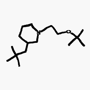 CC(C)(C)CC1CCCN(CCOC(C)(C)C)C1